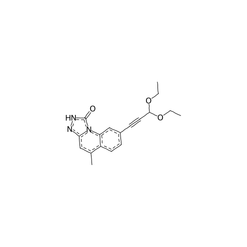 CCOC(C#Cc1ccc2c(C)cc3n[nH]c(=O)n3c2c1)OCC